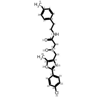 Cc1ccc(CCNC(=O)C[S+]([O-])Cc2nc(-c3ccc(Cl)cc3)oc2C)cc1